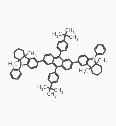 CC(C)(C)c1ccc(-c2c3ccc(-c4ccc5c(c4)C4(C)CCCCC4(C)N5c4ccccc4)cc3c(-c3ccc(C(C)(C)C)cc3)c3ccc(-c4ccc5c(c4)C4(C)CCCCC4(C)N5c4ccccc4)cc23)cc1